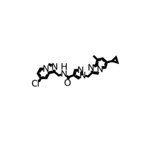 Cc1cc(C2CC2)cn2cc(Cn3cc(C(=O)NCc4ncn5ccc(Cl)cc45)cn3)nc12